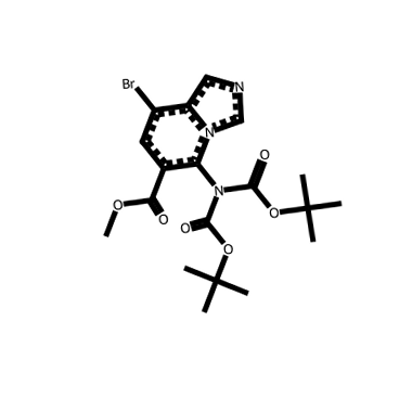 COC(=O)c1cc(Br)c2cncn2c1N(C(=O)OC(C)(C)C)C(=O)OC(C)(C)C